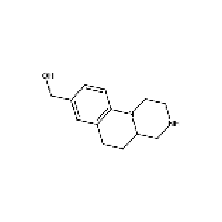 OCc1ccc2c(c1)CCC1CNCCN21